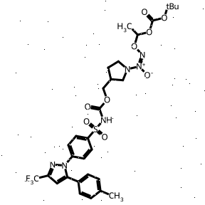 Cc1ccc(-c2cc(C(F)(F)F)nn2-c2ccc(S(=O)(=O)NC(=O)OCC3CCN(/[N+]([O-])=N\OC(C)OC(=O)OC(C)(C)C)C3)cc2)cc1